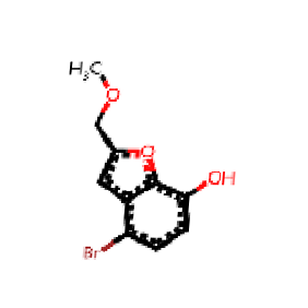 COCc1cc2c(Br)ccc(O)c2o1